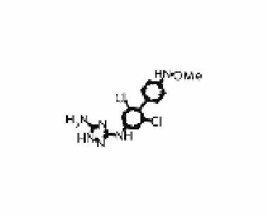 CONc1ccc(-c2c(Cl)cc(Nc3n[nH]c(N)n3)cc2Cl)cc1